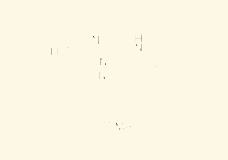 COc1cccc(-c2cc(C)c3ncc(C(=O)NC(C4CC4)C4CC4)n3n2)c1